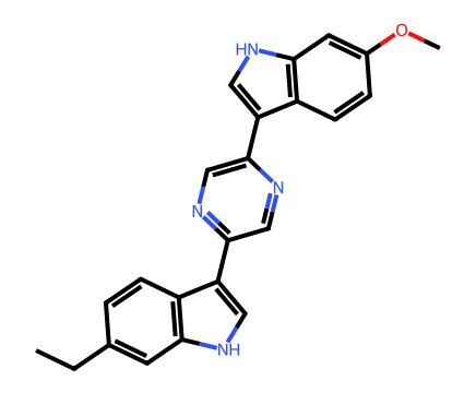 CCc1ccc2c(-c3cnc(-c4c[nH]c5cc(OC)ccc45)cn3)c[nH]c2c1